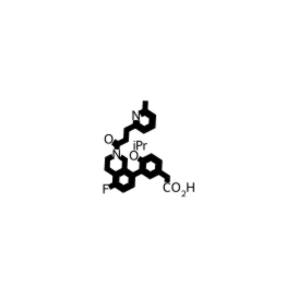 Cc1cccc(CCC(=O)N2CCc3c(F)ccc(-c4cc(CC(=O)O)ccc4OC(C)C)c3C2)n1